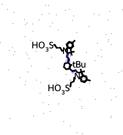 Cc1ccc2c(c1)C(C)(C)C(/C=C/C1=C(C(C)(C)C)C(=C/C=C3/N(CCCCS(=O)(=O)O)c4ccc(C)cc4C3(C)C)/CCC1)=[N+]2CCCCS(=O)(=O)O